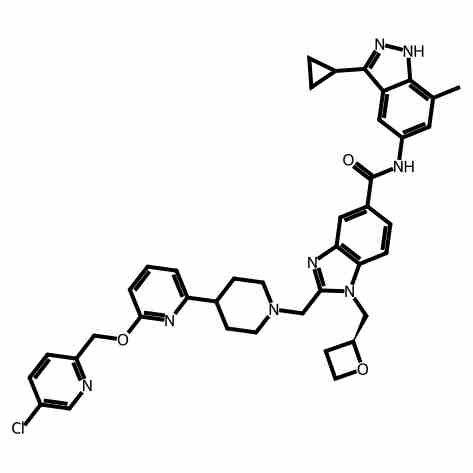 Cc1cc(NC(=O)c2ccc3c(c2)nc(CN2CCC(c4cccc(OCc5ccc(Cl)cn5)n4)CC2)n3C[C@@H]2CCO2)cc2c(C3CC3)n[nH]c12